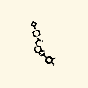 O=C(CN1CCc2nc(-c3ccc(F)c(F)c3)sc2C1)N1CCN(C2CCC2)CC1